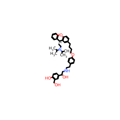 CC(C)N(CC[C@H](c1ccccc1)c1cc(CCCCOc2ccc(CCNC[C@@H](O)c3ccc(O)c(CO)c3)cc2)ccc1O)C(C)C